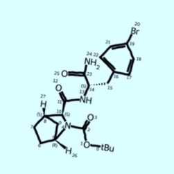 CC(C)(C)OC(=O)N1[C@@H]2CC[C@@H](C2)[C@H]1C(=O)N[C@@H](Cc1ccc(Br)cc1)C(N)=O